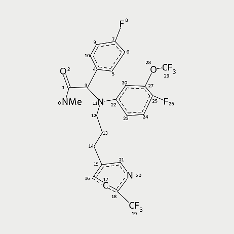 CNC(=O)C(c1ccc(F)cc1)N(CCCc1ccc(C(F)(F)F)nc1)c1ccc(F)c(OC(F)(F)F)c1